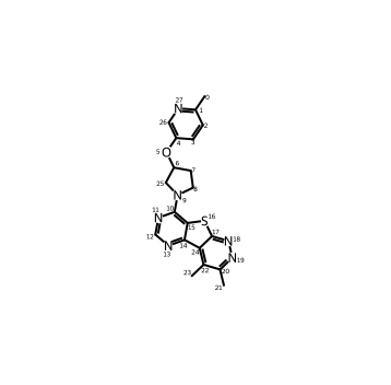 Cc1ccc(OC2CCN(c3ncnc4c3sc3nnc(C)c(C)c34)C2)cn1